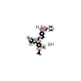 CS(=O)(=O)N(CCN1CCOCC1)c1ccc2c(ccn2CC(=O)OC(Cc2c(Cl)c[n+]([O-])cc2Cl)c2ccc(OC(F)F)c(OCC3CC3)c2)c1.Cl